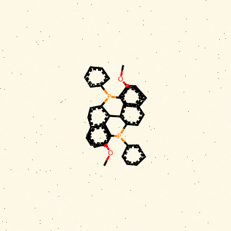 COc1ccccc1P(c1ccccc1)c1ccc2ccccc2c1-c1c(P(c2ccccc2)c2ccccc2OC)ccc2ccccc12